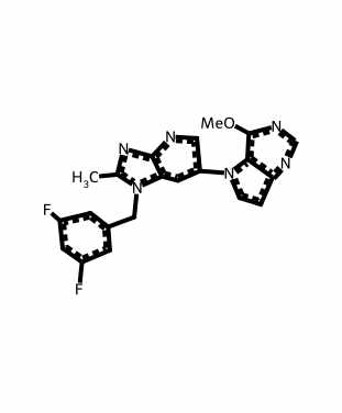 COc1ncnc2ccn(-c3cnc4nc(C)n(Cc5cc(F)cc(F)c5)c4c3)c12